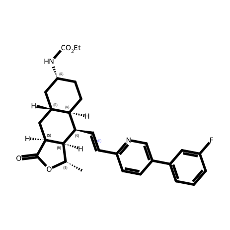 CCOC(=O)N[C@@H]1CC[C@@H]2[C@@H](C1)C[C@@H]1C(=O)O[C@@H](C)[C@@H]1[C@@H]2/C=C/c1ccc(-c2cccc(F)c2)cn1